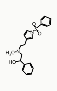 CN(CCc1ccn(S(=O)(=O)c2ccccc2)c1)CC(O)c1ccccc1